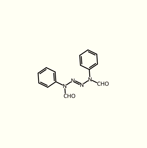 O=CN(/N=N/N(C=O)c1ccccc1)c1ccccc1